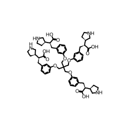 O=C(O)[C@@H](Cc1cccc(OCC(COc2cccc(C[C@H](C(=O)O)[C@H]3CCNC3)c2)(COc2cccc(C[C@H](C(=O)O)[C@H]3CCNC3)c2)COc2cccc(C[C@H](C(=O)O)[C@H]3CCNC3)c2)c1)[C@H]1CCNC1